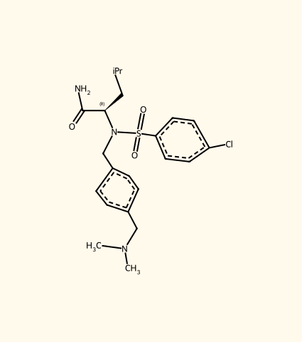 CC(C)C[C@H](C(N)=O)N(Cc1ccc(CN(C)C)cc1)S(=O)(=O)c1ccc(Cl)cc1